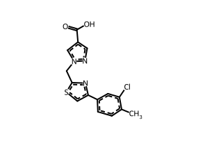 Cc1ccc(-c2csc(Cn3cc(C(=O)O)cn3)n2)cc1Cl